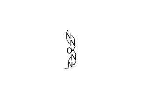 CCN1CCN(CC(=O)CN2CCN(CC)CC2)CC1